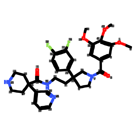 COc1cc(C(=O)N2CCC(CCNC(=O)C3(c4cccnc4)CCNCC3)(c3ccc(F)c(F)c3)C2)cc(OC)c1OC